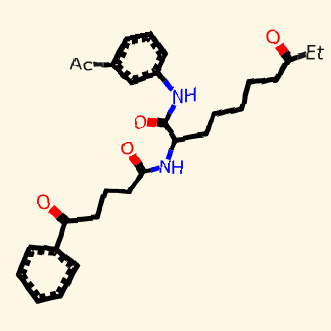 CCC(=O)CCCCCC(NC(=O)CCCC(=O)c1ccccc1)C(=O)Nc1cccc(C(C)=O)c1